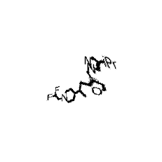 CC(C)c1cnn(C[C@H]2CCOC2CC(C)C2CCN(CC(F)F)CC2)c1